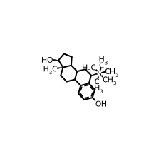 C[C@]12CCC3c4ccc(O)cc4[C@H](S(C)(C)(C)(C)C)CC3C1CC[C@@H]2O